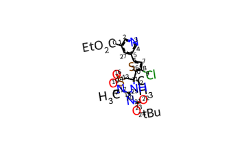 CCOC(=O)c1cncc(-c2cc(Cl)c([C@]3(C)CS(=O)(=O)N(C)/C(=N/C(=O)OC(C)(C)C)N3)s2)c1